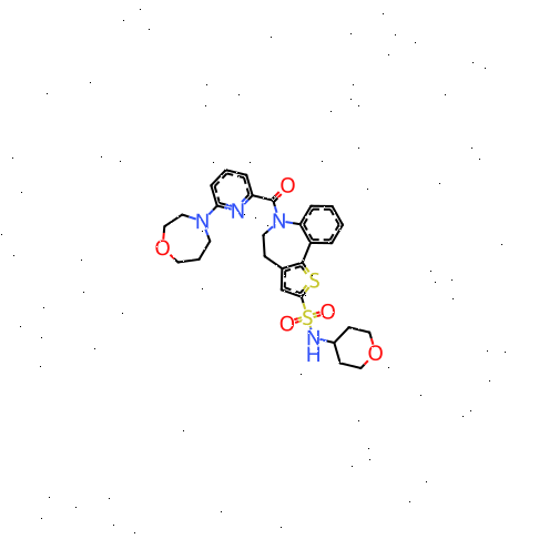 O=C(c1cccc(N2CCCOCC2)n1)N1CCc2cc(S(=O)(=O)NC3CCOCC3)sc2-c2ccccc21